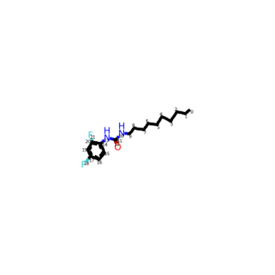 CCCCCCCCCCNC(=O)Nc1ccc(F)cc1F